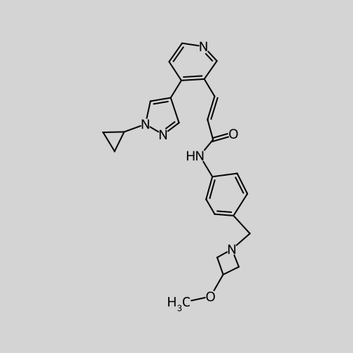 COC1CN(Cc2ccc(NC(=O)/C=C/c3cnccc3-c3cnn(C4CC4)c3)cc2)C1